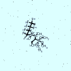 CCC(N(C)S(=O)(=O)C(F)(F)C(F)(F)C(F)(F)C(F)(F)F)[Si](OC)(OC)OC